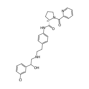 O=C(Nc1ccc(CCNCC(O)c2cccc(Cl)c2)cc1)[C@@H]1CCCN1C(=O)c1ccccn1